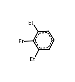 CCc1c[c]cc(CC)c1CC